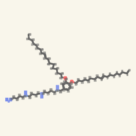 CCCCCCCCC=CCCCCCCCCOc1ccc(CNCCCCNCCCCNCCCCN)cc1OCCCCCCCCC=CCCCCCCCC